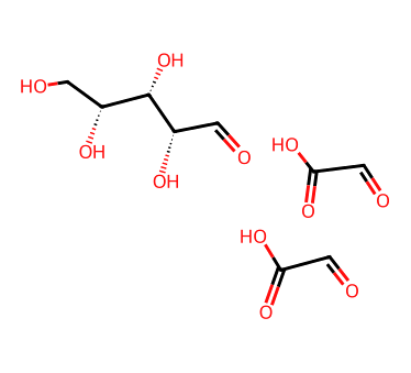 O=CC(=O)O.O=CC(=O)O.O=C[C@H](O)[C@@H](O)[C@H](O)CO